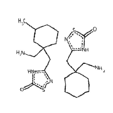 CC1CCCC(CN)(Cc2nsc(=O)[nH]2)C1.NCC1(Cc2nsc(=O)[nH]2)CCCCC1